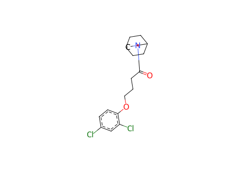 O=C(CCCOc1ccc(Cl)cc1Cl)N1CC2CCC(CC2)C1